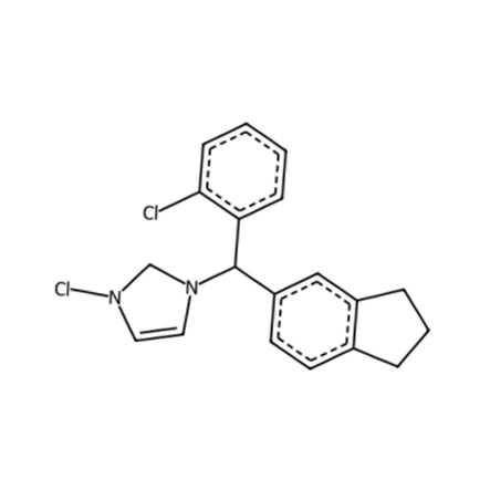 Clc1ccccc1C(c1ccc2c(c1)CCC2)N1C=CN(Cl)C1